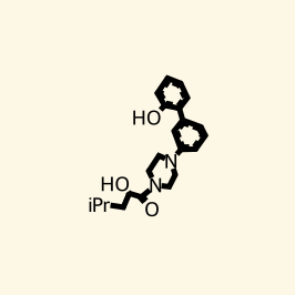 CC(C)CC(O)C(=O)N1CCN(c2cccc(-c3ccccc3O)c2)CC1